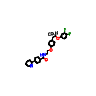 O=C(NCCOc1ccc(CC(Oc2ccc(F)c(F)c2)C(=O)O)cc1)c1ccc(-c2ccccn2)cc1